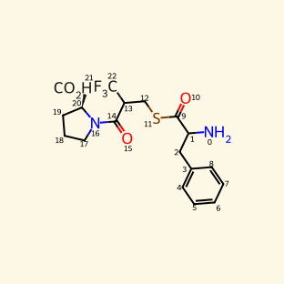 NC(Cc1ccccc1)C(=O)SCC(C(=O)N1CCC[C@H]1C(=O)O)C(F)(F)F